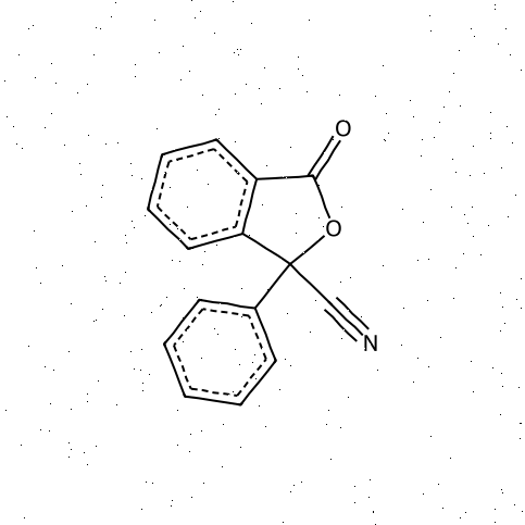 N#CC1(c2ccccc2)OC(=O)c2ccccc21